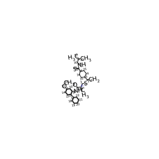 C=C(S/C=C(\C)C(=O)Nc1cc(OC)ccc1-c1ccccc1)C1CCC(C(=S)NCC(C)C)CC1